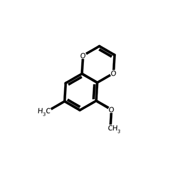 COc1cc(C)cc2c1OC=CO2